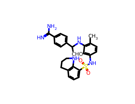 Cc1ccc(NS(=O)(=O)c2cccc3c2NCCC3)cc1NC(C=O)c1ccc(C(=N)N)cc1